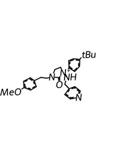 COc1ccc(CCN2CC[N+](NCc3ccncc3)(c3ccc(C(C)(C)C)cc3)C2=O)cc1